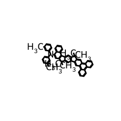 Cc1cccc(N(c2cccc(C)c2)c2cc3c(c4ccccc24)-c2cc4c(cc2C3(C)C)-c2cc3c5ccccc5c5ccccc5c3cc2C4(C)C)c1